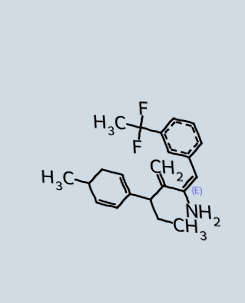 C=C(/C(N)=C\c1cccc(C(C)(F)F)c1)C(CC)C1=CCC(C)C=C1